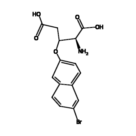 N[C@H](C(=O)O)C(CC(=O)O)Oc1ccc2cc(Br)ccc2c1